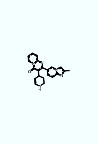 Cc1cn2cc(-c3nc4ccccn4c(=O)c3C3C=CNCC3)ccc2n1